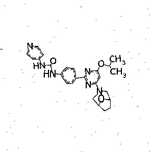 CC(C)Oc1cc(N2CC3CCC(C2)O3)nc(-c2ccc(NC(=O)Nc3ccncc3)cc2)n1